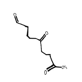 CC(=O)CCC(=O)CCC=O